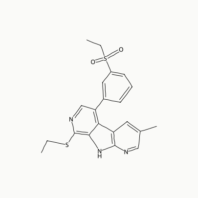 CCSc1ncc(-c2cccc(S(=O)(=O)CC)c2)c2c1[nH]c1ncc(C)cc12